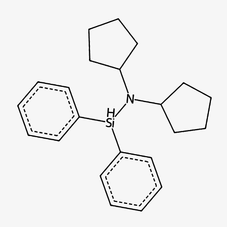 c1ccc([SiH](c2ccccc2)N(C2CCCC2)C2CCCC2)cc1